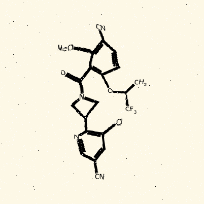 COc1c(C#N)ccc(O[C@@H](C)C(F)(F)F)c1C(=O)N1CC(c2ncc(C#N)cc2Cl)C1